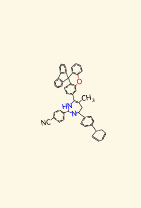 CC1=C(c2ccc3c(c2)Oc2ccccc2C32c3ccccc3-c3ccccc32)NC(c2ccc(C#N)cc2)N=C(c2ccc(C3C=CC=CC3)cc2)C1